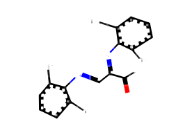 CCC(=O)C(C=Nc1c(C(C)C)cccc1C(C)C)=Nc1c(C(C)C)cccc1C(C)C